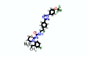 CC(C)c1cc(F)ccc1N1/C(=N/C(=O)NCC(F)c2ccc(-c3ncn(-c4ccc(OC(F)(F)F)cc4)n3)cc2)SCCC1C